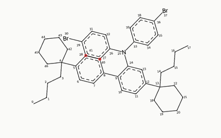 CCCCC1(c2ccc(-c3ccc(C4(CCCC)CCCCC4)cc3N(c3ccc(Br)cc3)c3ccc(Br)cc3)cc2)CCCCC1